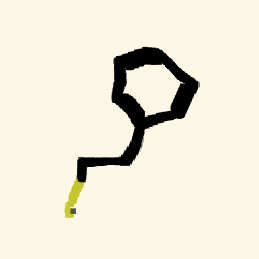 [S]CCc1ccccc1